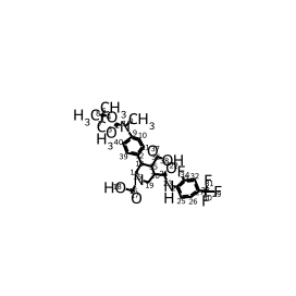 CN(C(=O)OC(C)(C)C)c1ccc(C2CN(C(=O)O)CC(C(=O)Nc3ccc(C(F)(F)F)cc3F)C2C(=O)O)cc1